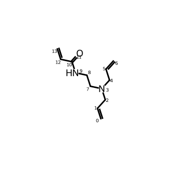 C=CCN(CC=C)CCNC(=O)C=C